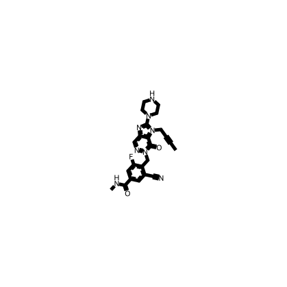 CC#CCn1c(N2CCNCC2)nc2cnn(Cc3c(F)cc(C(=O)NC)cc3C#N)c(=O)c21